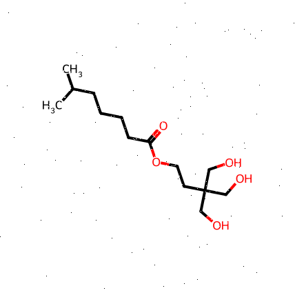 CC(C)CCCCC(=O)OCCC(CO)(CO)CO